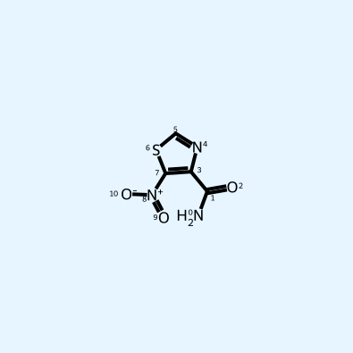 NC(=O)c1ncsc1[N+](=O)[O-]